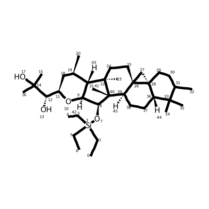 CC[Si](CC)(CC)O[C@H]1[C@H]2O[C@@H]([C@H](O)C(C)(C)O)C[C@@H](C)[C@@H]2[C@@]2(C)CC[C@@]34C[C@@]35CCC(C)C(C)(C)[C@@H]5CC[C@H]4[C@]12C